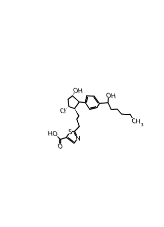 CCCCCC(O)c1ccc(C2[C@@H](CCCc3ncc(C(=O)O)s3)[C@H](Cl)C[C@@H]2O)cc1